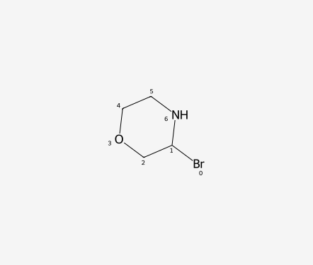 BrC1COCCN1